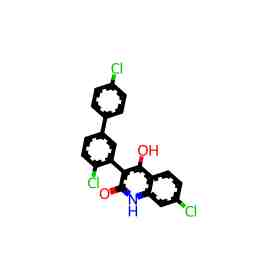 O=c1[nH]c2cc(Cl)ccc2c(O)c1-c1cc(-c2ccc(Cl)cc2)ccc1Cl